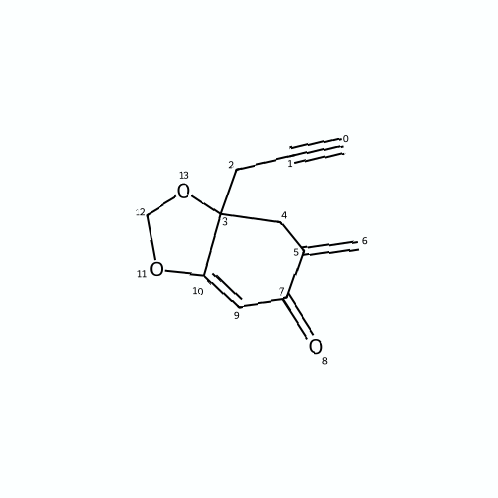 C#CCC12CC(=C)C(=O)C=C1OCO2